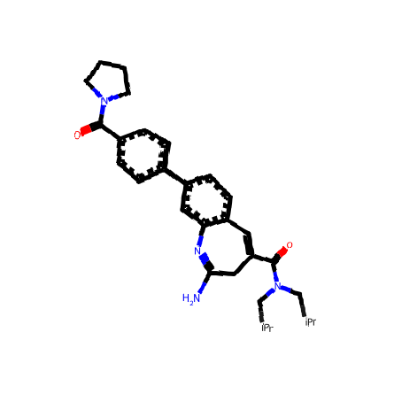 CC(C)CN(CC(C)C)C(=O)C1=Cc2ccc(-c3ccc(C(=O)N4CCCC4)cc3)cc2N=C(N)C1